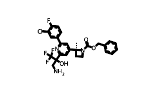 C[C@@]1(c2cc(-c3ccc(F)c(Cl)c3)nc(C(O)(CN)C(F)(F)F)c2)CCN1C(=O)OCc1ccccc1